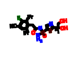 CC(C)c1cc(C#N)c(F)c(C(C)C)c1CC(=O)N=S(N)(=O)c1cnc([C@](C)(O)CO)s1